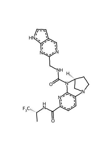 C[C@@H](NC(=O)c1ccc2c(n1)N(C(=O)NCc1ncc3cc[nH]c3n1)[C@H]1CCN2C1)C(F)(F)F